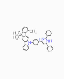 CC1CC=CC2C1C1=Cc3c(c4ccccc4n3C3=CCC(C4=CC(C5=CCCC=C5)NC(C5=CCCC=C5)N4)C=C3)CC1C2(C)C